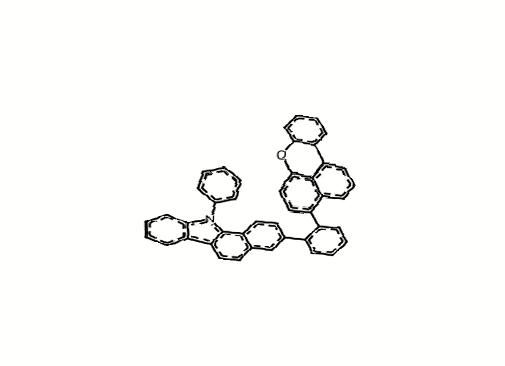 c1ccc(-n2c3ccccc3c3ccc4cc(-c5ccccc5-c5ccc6c7c(cccc57)-c5ccccc5O6)ccc4c32)cc1